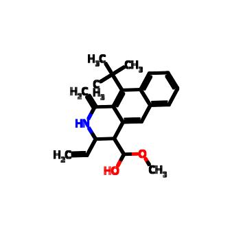 C=CC1NC(=C)c2c(cc3ccccc3c2C(C)(C)C)C1C(O)OC